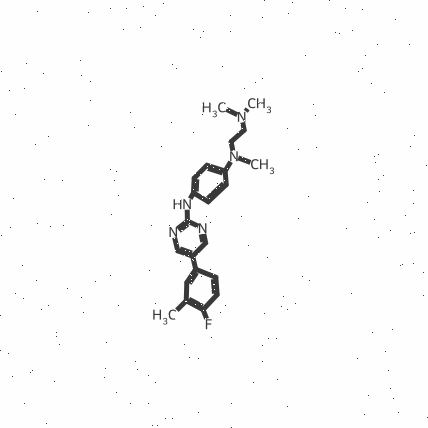 Cc1cc(-c2cnc(Nc3ccc(N(C)CCN(C)C)cc3)nc2)ccc1F